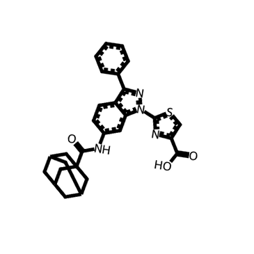 O=C(O)c1csc(-n2nc(-c3ccccc3)c3ccc(NC(=O)C45CC6CC(CC(C6)C4)C5)cc32)n1